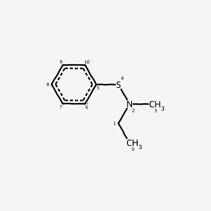 CCN(C)Sc1[c]cccc1